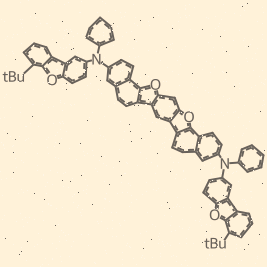 CC(C)(C)c1cccc2c1oc1ccc(N(c3ccccc3)c3ccc4c(ccc5c6cc7c(cc6oc45)oc4c5ccc(N(c6ccccc6)c6ccc8oc9c(C(C)(C)C)cccc9c8c6)cc5ccc74)c3)cc12